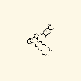 CCCCCCOc1nsnc1C1C2CCN(CC2)C1OCCCCCC.O=C(O)C(=O)O.O=C(O)C(=O)O